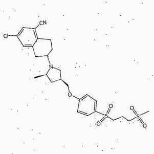 C[C@@H]1C[C@H](COc2ccc(S(=O)(=O)CCCS(C)(=O)=O)cc2)CN1C1CCc2c(C#N)cc(Cl)cc2C1